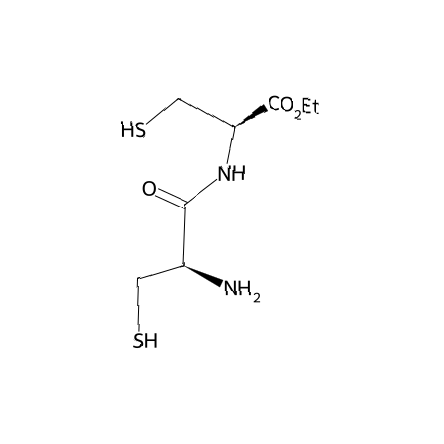 CCOC(=O)[C@H](CS)NC(=O)[C@@H](N)CS